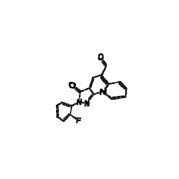 O=Cc1cc2c(=O)n(-c3ccccc3F)nc-2n2ccccc12